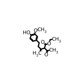 C=C(CCc1ccc(O)c(OC)c1)C(C(C)=O)C(=O)OCC